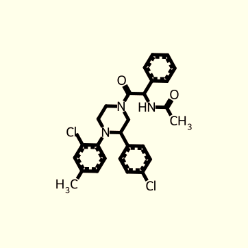 CC(=O)NC(C(=O)N1CCN(c2ccc(C)cc2Cl)C(c2ccc(Cl)cc2)C1)c1ccccc1